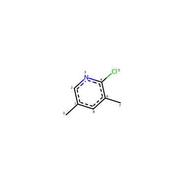 Cc1cnc(Cl)c(C)c1